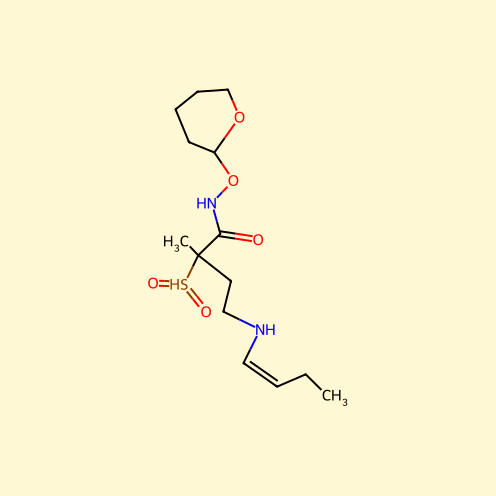 CC/C=C\NCCC(C)(C(=O)NOC1CCCCO1)[SH](=O)=O